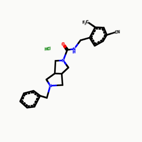 Cl.N#Cc1ccc(CNC(=O)N2CC3CN(Cc4ccccc4)CC3C2)c(C(F)(F)F)c1